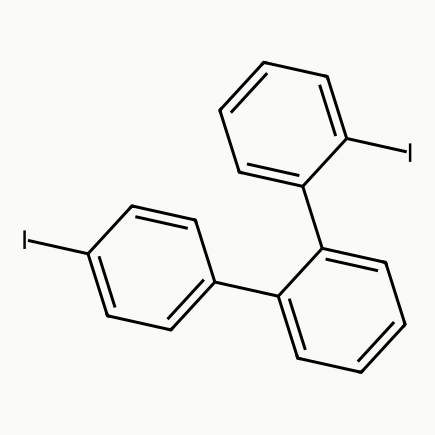 Ic1ccc(-c2ccccc2-c2ccccc2I)cc1